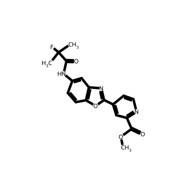 COC(=O)c1cc(-c2nc3cc(NC(=O)C(C)(C)F)ccc3o2)ccn1